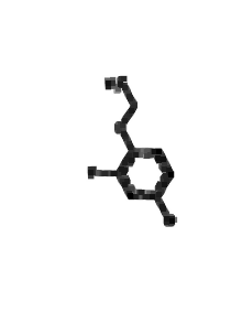 CCOc1ccc([O])cc1F